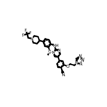 COc1cc(C2CCN(CC(F)(F)F)CC2)ccc1Nc1ncc(-c2ccc(C#N)c(OCCn3cnnn3)c2)cn1